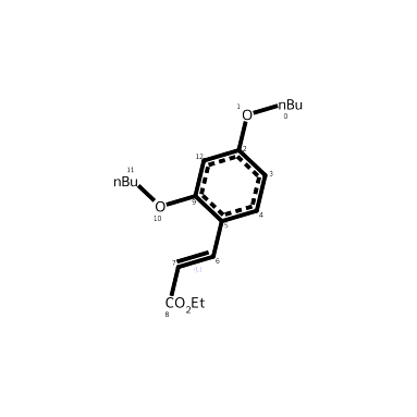 CCCCOc1ccc(/C=C/C(=O)OCC)c(OCCCC)c1